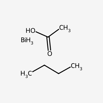 CC(=O)O.CCCC.[BiH3]